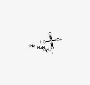 C.O=S(=O)(O)O.[NaH].[NaH].[NaH]